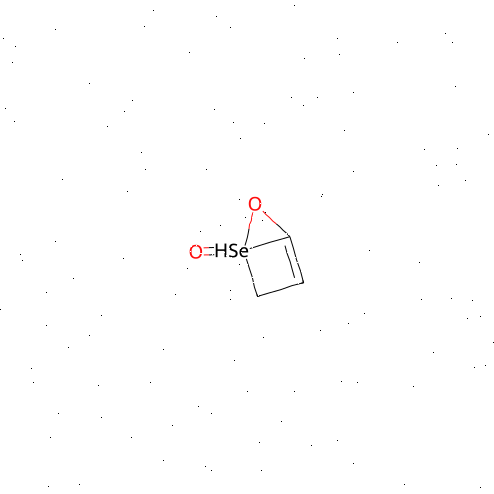 O=[SeH]12CC=C1O2